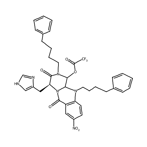 O=C1[C@H](Cc2c[nH]cn2)N2C(=O)c3cc([N+](=O)[O-])ccc3N(CCCCc3ccccc3)C2C(OC(=O)C(F)(F)F)N1CCCCc1ccccc1